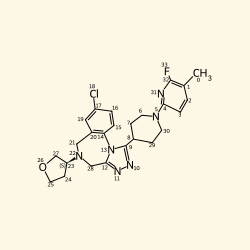 Cc1ccc(N2CCC(c3nnc4n3-c3ccc(Cl)cc3CN([C@H]3CCOC3)C4)CC2)nc1F